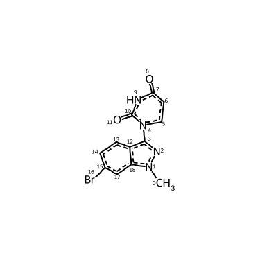 Cn1nc(-n2ccc(=O)[nH]c2=O)c2ccc(Br)cc21